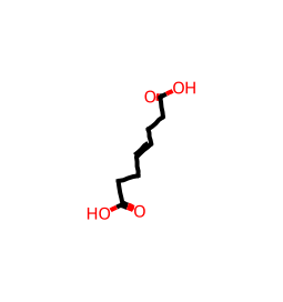 O=C(O)CC/C=C/CCC(=O)O